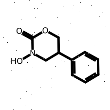 O=C1OCC(c2ccccc2)CN1O